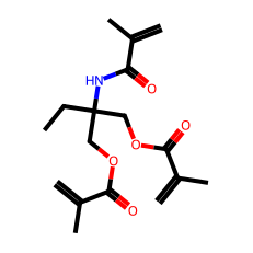 C=C(C)C(=O)NC(CC)(COC(=O)C(=C)C)COC(=O)C(=C)C